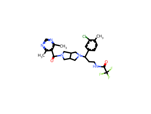 Cc1ccc(C(CCNC(=O)C(F)(F)F)N2CC3CN(C(=O)c4c(C)ncnc4C)CC3C2)cc1Cl